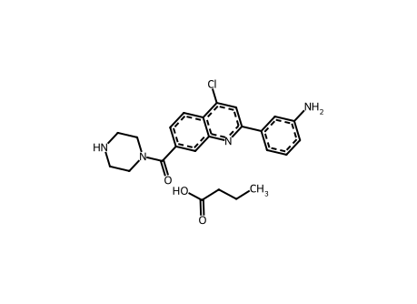 CCCC(=O)O.Nc1cccc(-c2cc(Cl)c3ccc(C(=O)N4CCNCC4)cc3n2)c1